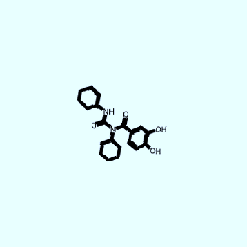 O=C(NC1CCCCC1)N(C(=O)c1ccc(O)c(O)c1)C1CCCCC1